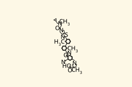 Cc1c(-c2nc3cc(CN4CCC(C)(C(=O)O)C4)cc(C#N)c3o2)cccc1-c1cccc(-c2nc3c(s2)CN(C(=O)CN(C)CC2CC2)C3)c1C